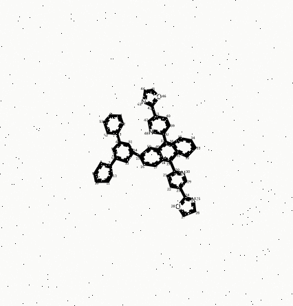 c1ccc(-c2cc(-c3ccccc3)cc(-c3ccc4c(-c5ccc(-c6ncco6)cn5)c5ccccc5c(-c5ccc(-c6ncco6)cn5)c4c3)c2)cc1